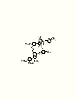 COc1ccc(-c2c(C)nn3c(NCc4ccc(C(C)(C)C)cc4)cc(CCOc4cc(-c5c(C)nn6c(NCc7ccnc(C)n7)cc(C)nc56)ccc4OC)nc23)cc1OC